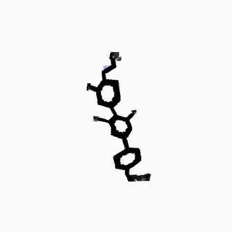 CCCCCc1ccc(-c2cc(F)c(-c3ccc(/C=C/C(F)(F)F)c(F)c3)c(F)c2)cc1